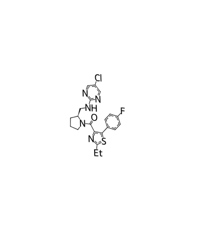 CCc1nc(C(=O)N2CCC[C@H]2CNc2ncc(Cl)cn2)c(-c2ccc(F)cc2)s1